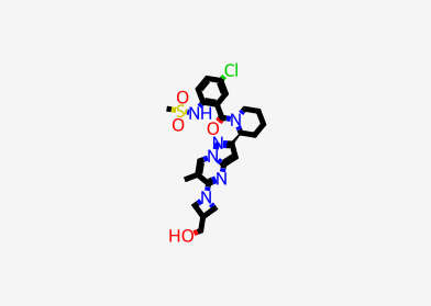 Cc1cn2nc([C@@H]3CCCCN3C(=O)c3cc(Cl)ccc3NS(C)(=O)=O)cc2nc1N1CC(CO)C1